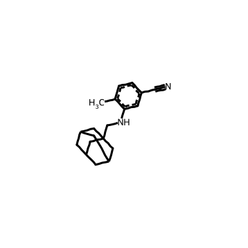 Cc1ccc(C#N)cc1NCC12CC3CC(CC(C3)C1)C2